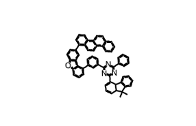 CC1(C)c2ccccc2C2C(c3nc(-c4ccccc4)nc(-c4cccc(-c5cccc6oc7ccc(-c8cccc9c8ccc8c%10ccccc%10ccc98)cc7c56)c4)n3)=CC=CC21